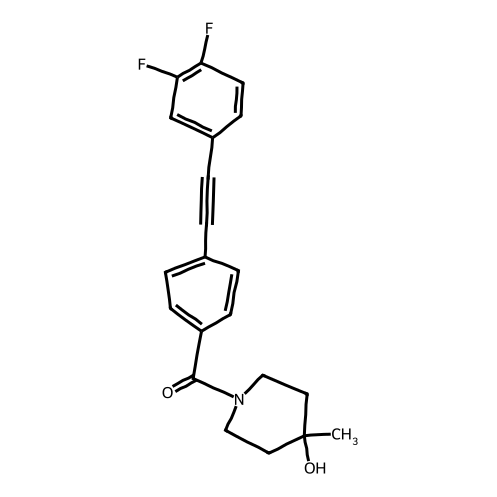 CC1(O)CCN(C(=O)c2ccc(C#Cc3ccc(F)c(F)c3)cc2)CC1